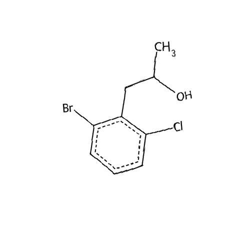 CC(O)Cc1c(Cl)cccc1Br